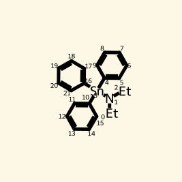 CC[N](CC)[Sn]([c]1ccccc1)([c]1ccccc1)[c]1ccccc1